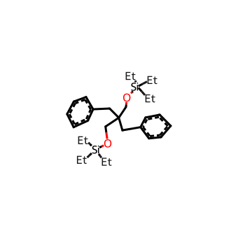 CC[Si](CC)(CC)OCC(CO[Si](CC)(CC)CC)(Cc1ccccc1)Cc1ccccc1